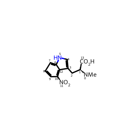 CN[C@@H](Cc1c[nH]c2cccc([N+](=O)[O-])c12)C(=O)O